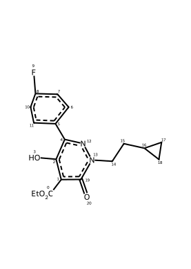 CCOC(=O)c1c(O)c(-c2ccc(F)cc2)nn(CCC2CC2)c1=O